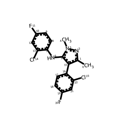 Cc1nn(C)c(Nc2ccc(F)cc2Cl)c1-c1ccc(F)cc1Cl